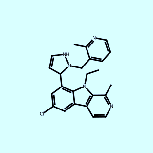 CCn1c2c(C3C=CNN3Cc3cccnc3C)cc(Cl)cc2c2ccnc(C)c21